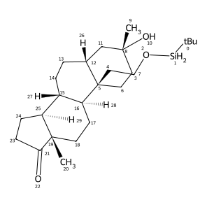 CC(C)(C)[SiH2]OCC[C@]12CC[C@@](C)(O)C[C@H]1CC[C@@H]1[C@@H]2CC[C@]2(C)C(=O)CC[C@@H]12